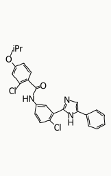 CC(C)Oc1ccc(C(=O)Nc2ccc(Cl)c(-c3ncc(-c4ccccc4)[nH]3)c2)c(Cl)c1